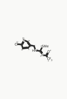 CS/C(=N\C(=O)C(F)(F)F)NCc1ccc(Cl)nc1